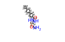 NC(=O)CC(=S)NNC(=O)c1ccc(-c2ccc(C3CCC3)cc2)cc1